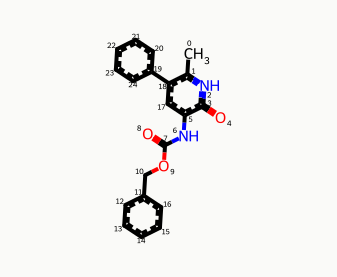 Cc1[nH]c(=O)c(NC(=O)OCc2ccccc2)cc1-c1ccccc1